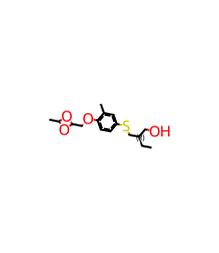 CC[C@H](CO)CSc1ccc(OCC2OC(C)O2)c(C)c1